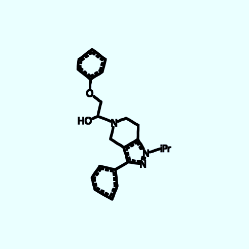 CC(C)n1nc(-c2ccccc2)c2c1CCN(C(O)COc1ccccc1)C2